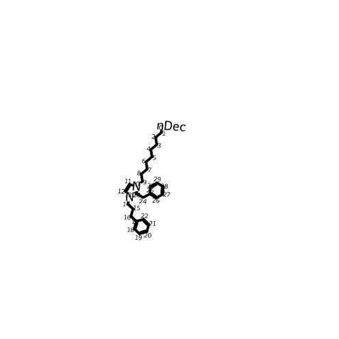 CCCCCCCCCCCCCCCCCCCn1cc[n+](CCCc2ccccc2)c1Cc1ccccc1